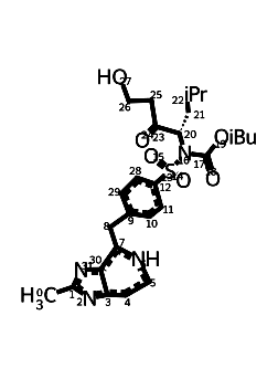 Cc1nc2cc[nH]c(Cc3ccc(S(=O)(=O)N(C(=O)OCC(C)C)[C@@H](CC(C)C)C(=O)CCO)cc3)c-2n1